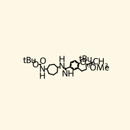 CO[C@@](C)([C@H]1CCc2cc(C(=N)NC3CCCC(NC(=O)OC(C)(C)C)CC3)ccc2O1)C(C)(C)C